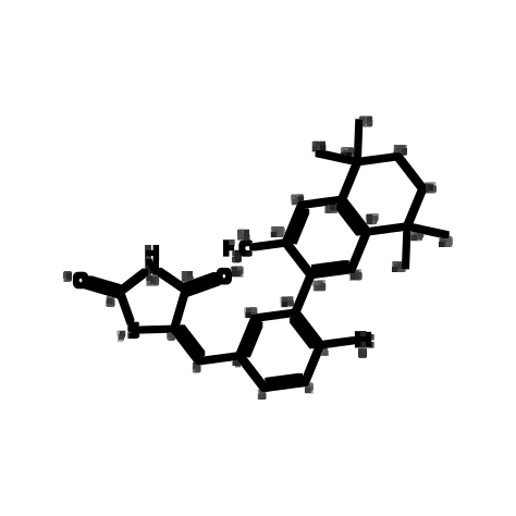 CCc1ccc(C=C2SC(=O)NC2=O)cc1-c1cc2c(cc1C(F)(F)F)C(C)(C)CCC2(C)C